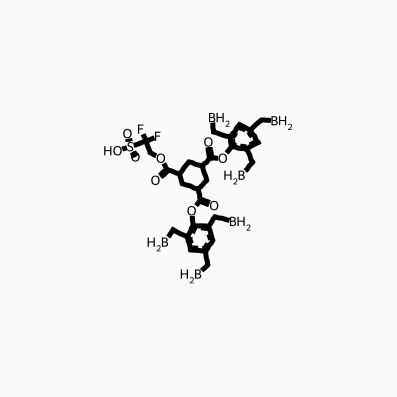 BCc1cc(CB)c(OC(=O)C2CC(C(=O)OCC(F)(F)S(=O)(=O)O)CC(C(=O)Oc3c(CB)cc(CB)cc3CB)C2)c(CB)c1